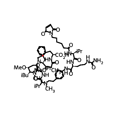 CC[C@H](C)C([C@@H](CC(=O)N1CCC[C@H]1[C@H](OC)[C@@H](C)C(=O)N[C@@H](Cc1ccccc1)C(=O)O)OC)N(C)C(=O)[C@@H](NC(=O)C(C(C)C)N(C)CCc1ccc(NC(=O)[C@H](CCCNC(N)=O)NC(=O)[C@@H](NC(=O)CCCCCN2C(=O)C=CC2=O)C(C)C)cc1)C(C)C